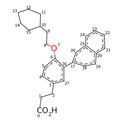 O=C(O)CCc1ccc(OCCC2CCCCC2)c(-c2ccc3ccccc3c2)c1